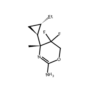 CC[C@H]1C[C@@H]1[C@@]1(C)N=C(N)OCC1(F)F